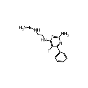 [NH2][Ir][NH]CCNc1nc(N)nc(-c2ccccc2)c1F